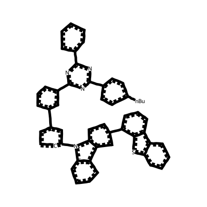 CCCCc1ccc(-c2nc(-c3ccccc3)nc(-c3cccc(-c4cccc(-n5c6ccccc6c6cc(-c7cccc8c7sc7ccccc78)ccc65)c4)c3)n2)cc1